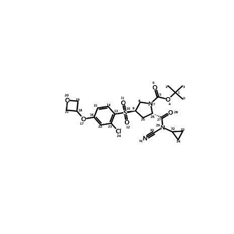 CC(C)(C)OC(=O)N1C[C@H](S(=O)(=O)c2ccc(OC3COC3)cc2Cl)C[C@H]1C(=O)N(C#N)C1CC1